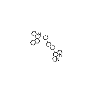 c1cc(-c2ccc3cc(-c4cc5cccnc5c5ncccc45)ccc3c2)cc(-c2nc3ccccc3c3c2ccc2ccccc23)c1